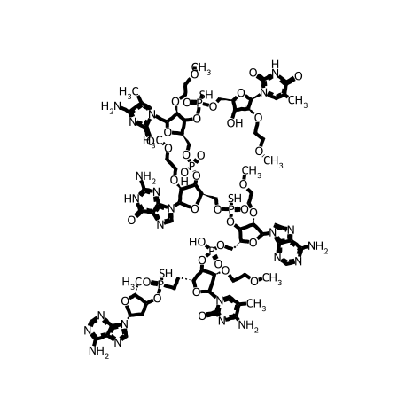 COCCO[C@H]1C(OP(=O)(O)OC[C@H]2OC(n3cnc4c(N)ncnc43)[C@@H](OCCOC)C2OP(=O)(S)OC[C@H]2OC(n3cnc4c(=O)[nH]c(N)nc43)[C@@H](OCCOC)C2OP(=O)(O)OC[C@H]2OC(n3cc(C)c(N)nc3=O)[C@@H](OCCOC)C2OP(=O)(S)OC[C@H]2O[C@@H](n3cc(C)c(=O)[nH]c3=O)[C@@H](OCCOC)C2O)[C@@H](CCP(=O)(S)OC2C[C@H](n3cnc4c(N)ncnc43)O[C@@H]2C)OC1n1cc(C)c(N)nc1=O